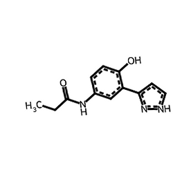 CCC(=O)Nc1ccc(O)c(-c2cc[nH]n2)c1